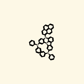 c1ccc(N(c2ccccc2)c2ccc3c(c2)B2c4cc(N(c5ccccc5)c5ccccc5)ccc4N(c4ccc5ccc6cccc7ccc4c5c67)c4cccc-3c42)cc1